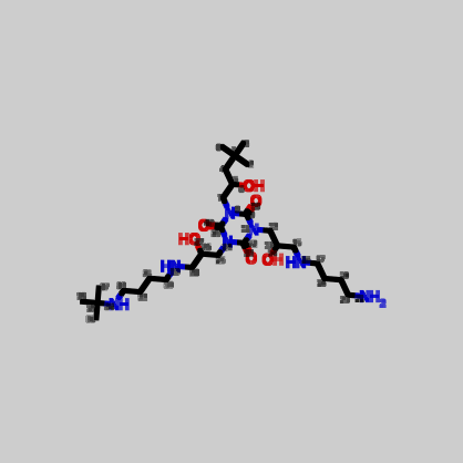 CC(C)(C)CC(O)Cn1c(=O)n(CC(O)CNCCCCN)c(=O)n(CC(O)CNCCCCNC(C)(C)C)c1=O